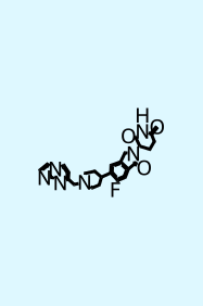 O=C1CCC(N2Cc3cc(C4CCN(Cc5ccn6ccnc6n5)CC4)c(F)cc3C2=O)C(=O)N1